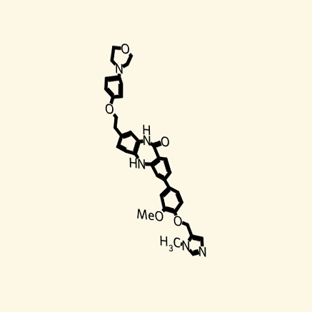 COc1cc(-c2ccc3c(c2)Nc2ccc(CCOc4ccc(N5CCOCC5)cc4)cc2NC3=O)ccc1OCc1cncn1C